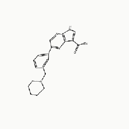 CC(C)(C)C(=O)c1c[nH]c2ncc(-c3cccc(CN4CCCCC4)c3)nc12